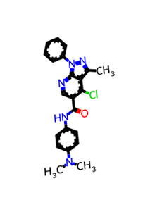 Cc1nn(-c2ccccc2)c2ncc(C(=O)Nc3ccc(N(C)C)cc3)c(Cl)c12